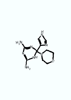 NC1=NC(c2c[nH]cn2)(N2CCOCC2)NC(N)=N1